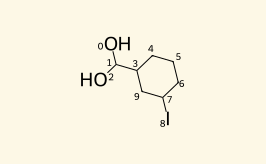 OC(O)C1CCCC(I)C1